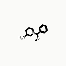 COC(c1ccccc1)N1CCCC(N)C1